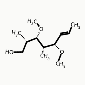 CC=C[C@H](OC)[C@H](C)[C@@H](OC)[C@@H](C)CO